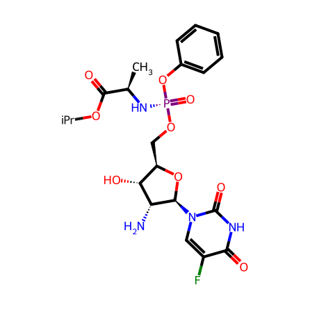 CC(C)OC(=O)[C@@H](C)N[P@](=O)(OC[C@H]1O[C@@H](n2cc(F)c(=O)[nH]c2=O)[C@H](N)[C@@H]1O)Oc1ccccc1